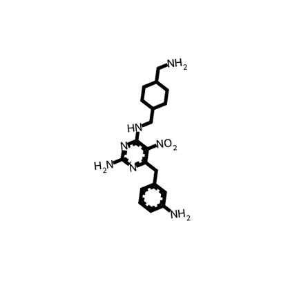 NCC1CCC(CNc2nc(N)nc(Cc3cccc(N)c3)c2[N+](=O)[O-])CC1